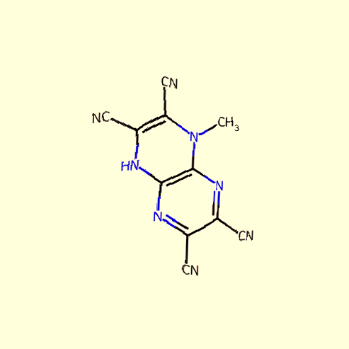 CN1C(C#N)=C(C#N)Nc2nc(C#N)c(C#N)nc21